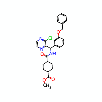 COC(=O)[C@H]1CC[C@@H](C(=O)NC(c2cccc(OCc3ccccc3)c2)c2nccnc2Cl)CC1